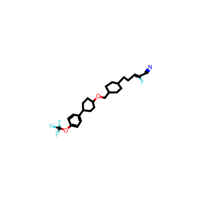 N#CC(F)=CCCC1CCC(COC2CCC(c3ccc(OC(F)(F)F)cc3)CC2)CC1